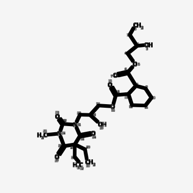 CCC(O)COC(=O)C1CCCCC1C(=O)OCC(O)CN1C(=O)N(C)C(=O)C(CC)(CC)C1=O